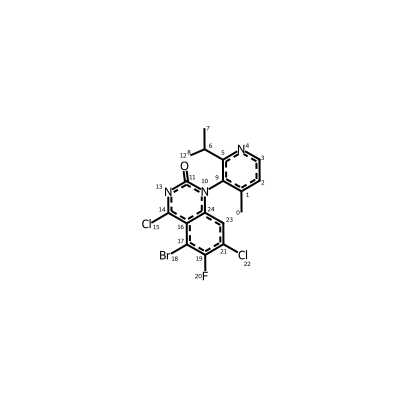 Cc1ccnc(C(C)C)c1-n1c(=O)nc(Cl)c2c(Br)c(F)c(Cl)cc21